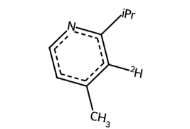 [2H]c1c(C)ccnc1C(C)C